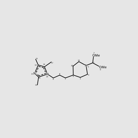 COC(OC)N1CCC(CCCn2c(C)nc(C)c2C)CC1